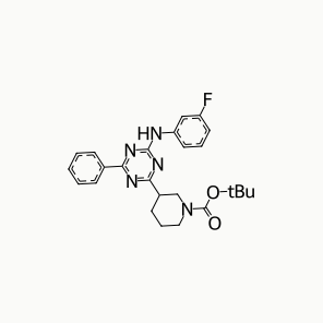 CC(C)(C)OC(=O)N1CCCC(c2nc(Nc3cccc(F)c3)nc(-c3ccccc3)n2)C1